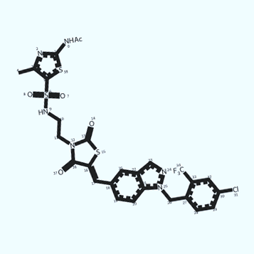 CC(=O)Nc1nc(C)c(S(=O)(=O)NCCN2C(=O)SC(=Cc3ccc4c(cnn4Cc4ccc(Cl)cc4C(F)(F)F)c3)C2=O)s1